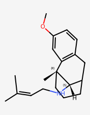 COc1ccc2c(c1)[C@@]1(C)CCCC(C2)[C@@H]1NCC=C(C)C